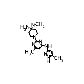 C=NC1(N)CCN(c2nc(C)cc(Nc3cc(C)[nH]n3)n2)CC1